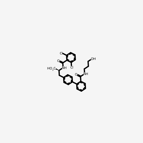 O=C(NCCCO)c1ccccc1-c1ccc(C[C@H](NC(=O)c2c(Cl)cccc2Cl)C(=O)O)cc1